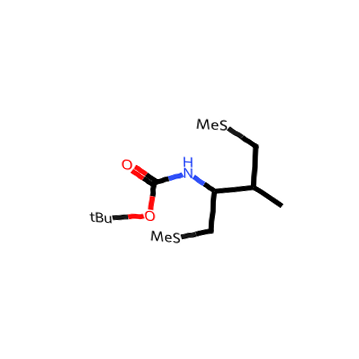 CSCC(C)C(CSC)NC(=O)OC(C)(C)C